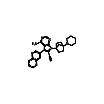 C#Cc1c(-c2cnc3ccccc3c2)c2c(N)ncnc2n1C12CCC(N3CCCCC3)(CC1)C2